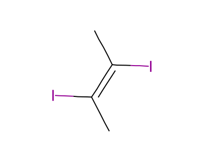 CC(I)=C(C)I